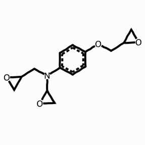 c1cc(N(CC2CO2)C2CO2)ccc1OCC1CO1